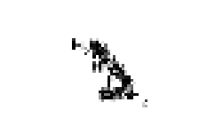 Nc1nc(CC(=O)Nc2ccc(C[C@H]3CC[C@H]([C@H](N)COc4ccccc4)N3)cc2)cs1